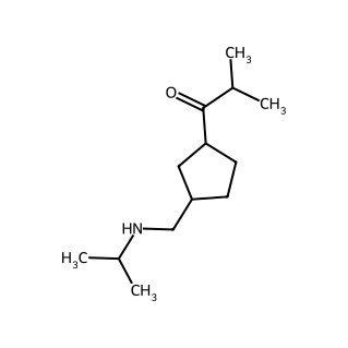 CC(C)NCC1CCC(C(=O)C(C)C)C1